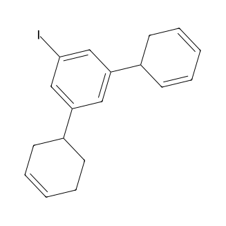 Ic1cc(C2C=CC=CC2)cc(C2CC=CCC2)c1